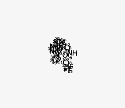 Cc1ccc(NC(=O)CC2CCCC(C(F)(F)F)C2)cc1Nc1ncccc1-c1ncnc2c1ncn2C1CCCCO1